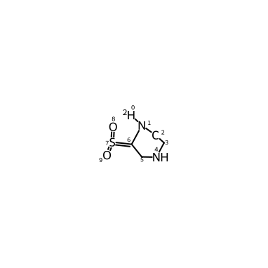 [2H]N1CCNCC1=S(=O)=O